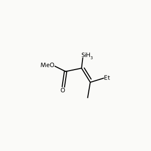 CC/C(C)=C(\[SiH3])C(=O)OC